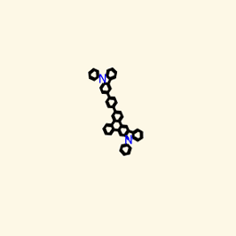 c1ccc(-n2c3ccccc3c3cc(-c4ccc(-c5ccc6c(c5)c5ccccc5c5cc7c(cc65)c5ccccc5n7-c5ccccc5)cc4)ccc32)cc1